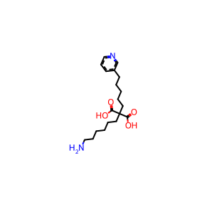 NCCCCCCC(CCCCCc1cccnc1)(C(=O)O)C(=O)O